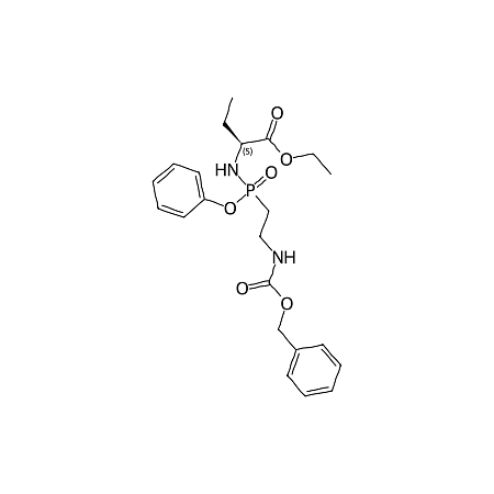 CCOC(=O)[C@H](CC)NP(=O)(CCNC(=O)OCc1ccccc1)Oc1ccccc1